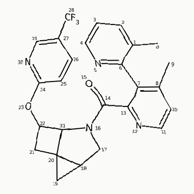 Cc1cccnc1-c1c(C)ccnc1C(=O)N1CC2CC23CC(Oc2ccc(C(F)(F)F)cn2)C13